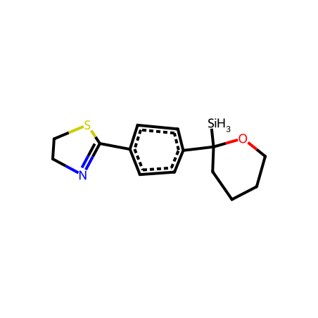 [SiH3]C1(c2ccc(C3=NCCS3)cc2)CCCCO1